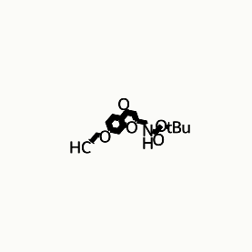 C#CCOc1ccc2c(=O)cc(CNC(=O)OC(C)(C)C)oc2c1